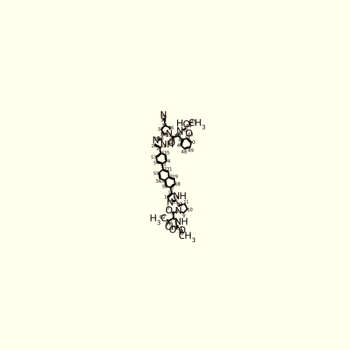 COC(=O)NC(C(=O)N1CCC[C@H]1c1ncc(-c2ccc3cc(-c4ccc(-c5cnc([C@@H]6CC(C#N)CN6C(=O)[C@H](NC(=O)OC)c6ccccc6)[nH]5)cc4)ccc3c2)[nH]1)C(C)C